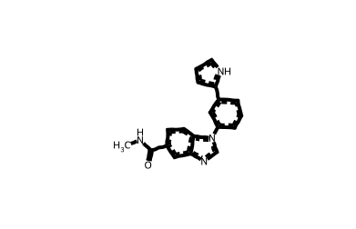 CNC(=O)c1ccc2c(c1)ncn2-c1cccc(-c2ccc[nH]2)c1